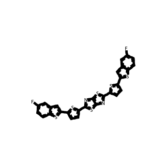 Fc1ccc2sc(-c3ccc(-c4nc5sc(-c6ccc(-c7cc8cc(F)ccc8s7)s6)nc5s4)s3)cc2c1